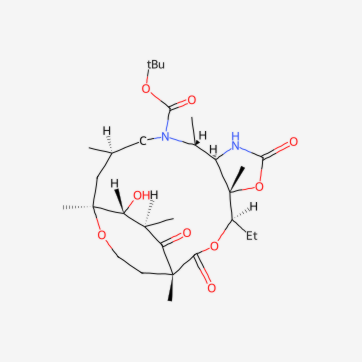 CC[C@H]1OC(=O)[C@]2(C)CCO[C@@](C)(C[C@@H](C)CN(C(=O)OC(C)(C)C)[C@H](C)[C@H]3NC(=O)O[C@@]31C)[C@H](O)[C@@H](C)C2=O